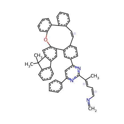 C=N/C=C\C=C(/C)c1nc(-c2ccccc2)cc(-c2ccc3c(c2)-c2cc4c(cc2Oc2ccccc2-c2ccccc2/C=C\3)C(C)(C)c2ccccc2-4)n1